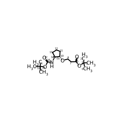 CC(C)(C)OC(=O)CCO[C@H]1CCC[C@@H]1NC(=O)OC(C)(C)C